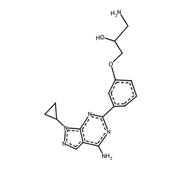 NCC(O)COc1cccc(-c2nc(N)c3cnn(C4CC4)c3n2)c1